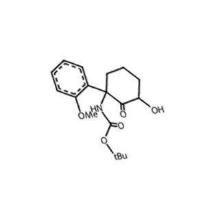 COc1ccccc1C1(NC(=O)OC(C)(C)C)CCCC(O)C1=O